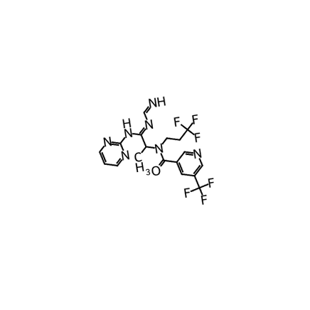 CC(/C(=N/C=N)Nc1ncccn1)N(CCC(F)(F)F)C(=O)c1cncc(C(F)(F)F)c1